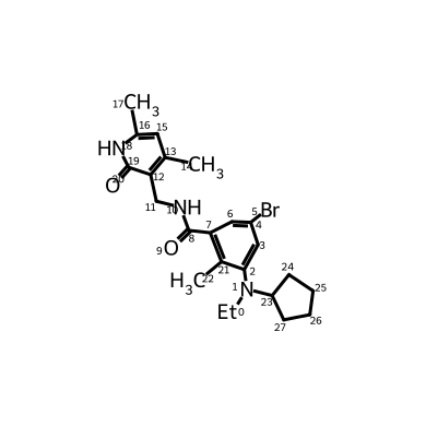 CCN(c1cc(Br)cc(C(=O)NCc2c(C)cc(C)[nH]c2=O)c1C)C1CCCC1